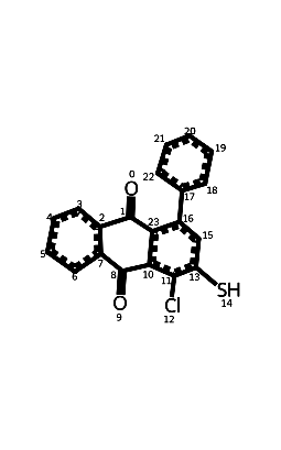 O=C1c2ccccc2C(=O)c2c(Cl)c(S)cc(-c3ccccc3)c21